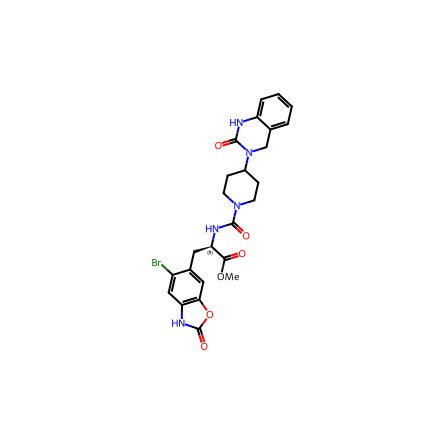 COC(=O)[C@@H](Cc1cc2oc(=O)[nH]c2cc1Br)NC(=O)N1CCC(N2Cc3ccccc3NC2=O)CC1